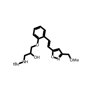 COCc1cc(C=Cc2ccccc2OCC(O)CNC(C)(C)C)on1